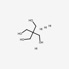 I.I.I.I.OCC(CO)(CO)CO